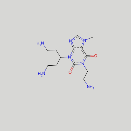 Cn1cnc2c1c(=O)n(CCN)c(=O)n2C(CCN)CCN